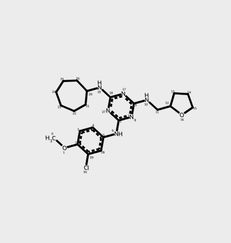 COc1ccc(Nc2nc(NCC3CCCO3)nc(NC3CCCCCC3)n2)cc1Cl